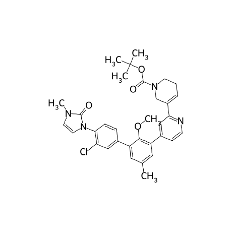 COc1c(-c2ccnc(C3=CCCN(C(=O)OC(C)(C)C)C3)c2)cc(C)cc1-c1ccc(-n2ccn(C)c2=O)c(Cl)c1